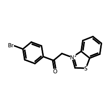 O=C(C[n+]1csc2ccccc21)c1ccc(Br)cc1